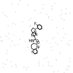 CN1C(=O)[C@@H](NC(=O)c2nc3n(n2)[C@H](c2ccccc2F)CC3)CCc2ncccc21